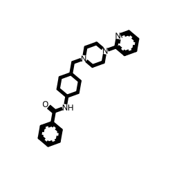 O=C(NC1CCC(CN2CCN(c3ccccn3)CC2)CC1)c1ccccc1